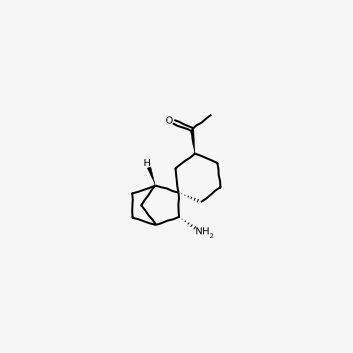 CC(=O)[C@H]1CCC[C@@]2(C1)[C@H]1CCC(C1)[C@H]2N